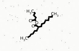 CCCCCCCCC(CCCCCC)C(=O)OC(Cl)CCCC